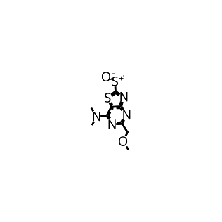 COCc1nc(N(C)C)c2sc([S+](C)[O-])nc2n1